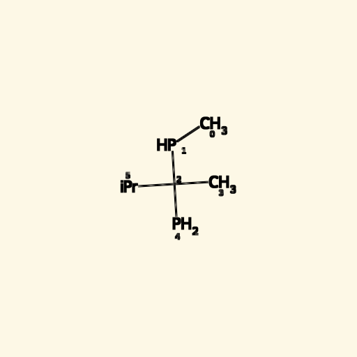 CPC(C)(P)C(C)C